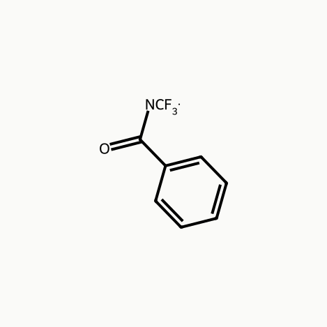 O=C([N]C(F)(F)F)c1ccccc1